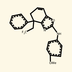 COc1ccc(Nc2nc3c(o2)C=CCC3(CC(F)(F)F)c2ccccc2)cc1